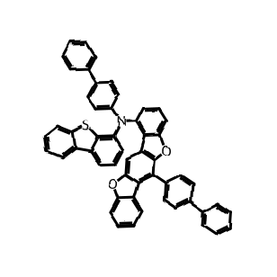 c1ccc(-c2ccc(-c3c4oc5cccc(N(c6ccc(-c7ccccc7)cc6)c6cccc7c6sc6ccccc67)c5c4cc4oc5ccccc5c34)cc2)cc1